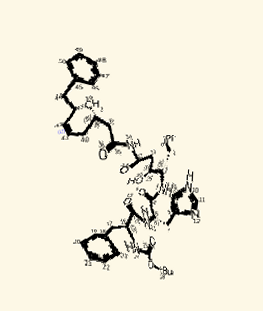 CC(C)C[C@H](NC(=O)[C@H](Cc1c[nH]cn1)NC(=O)[C@H](Cc1ccccc1)NC(=O)OC(C)(C)C)[C@@H](O)CC(=O)NC(=O)C[C@@H](C)[CH]/C=C\CCc1ccccc1